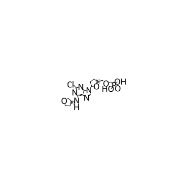 O=P(O)(O)COC[C@@H]1CCC(n2cnc3c(N[C@@H]4CCOC4)nc(Cl)nc32)O1